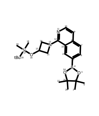 CC1(C)OB(c2ccc3ccnc(N4CC(O[Si](C)(C)C(C)(C)C)C4)c3c2)OC1(C)C